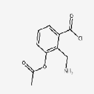 CC(=O)Oc1cccc(C(=O)Cl)c1CN